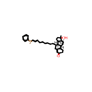 CC1(O)CC[C@H]2[C@@H]3C(CCCCCCCCCSc4ccccc4)CC4=CC(=O)CC[C@]4(C)[C@@H]3CC[C@@]21C